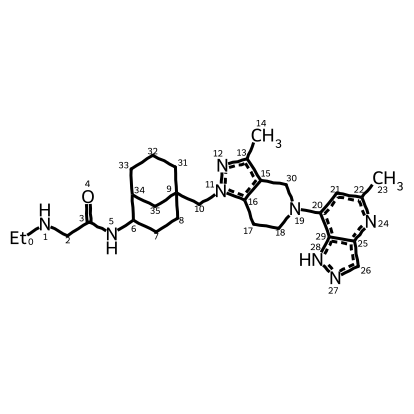 CCNCC(=O)NC1CCC2(Cn3nc(C)c4c3CCN(c3cc(C)nc5cn[nH]c35)C4)CCCC1C2